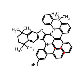 CCCCc1ccc(N2c3cc4ccccc4c4c3B(c3oc5cc6c(cc5c32)C(C)(C)CCC6(C)C)N2c3ccccc3S(C)(C)c3cccc-4c32)c(-c2ccccc2)c1